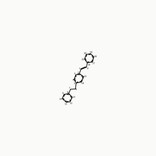 C(=Cc1ccc(CCc2ccccc2)cc1)c1ccccc1